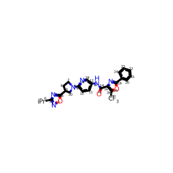 CC(C)c1noc(C2CCN(c3ccc(NC(=O)c4nc(-c5ccccc5)oc4C(F)(F)F)cn3)C2)n1